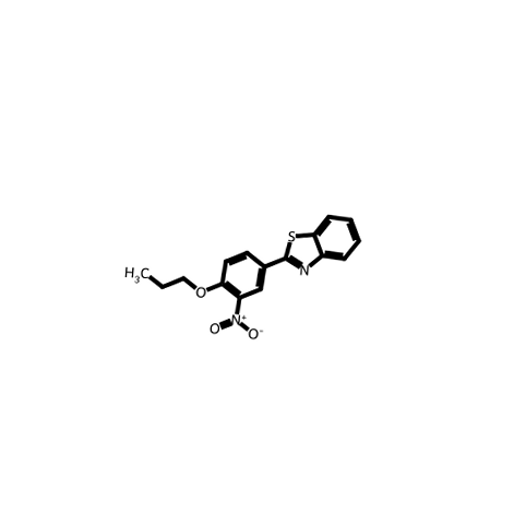 CCCOc1ccc(-c2nc3ccccc3s2)cc1[N+](=O)[O-]